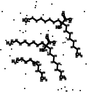 CCCCCCCCC(S)(CCCCCCCC)C(=O)[O-].CCCCCCCCC(S)(CCCCCCCC)C(=O)[O-].CCC[CH2][Sn+2][CH2]CCC